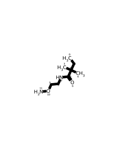 CCC(C)(C)C(=O)NCCON